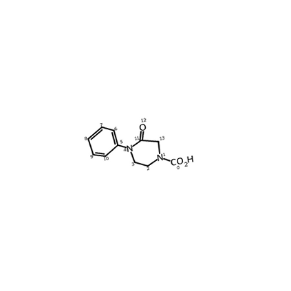 O=C(O)N1CCN(c2ccccc2)C(=O)C1